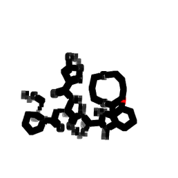 CC[C@H]1CCCCN1C(=O)C[C@H](NC(=O)c1cc(C)on1)C(=O)N[C@@H](C)C1NC2CCCC(F)C2(C2CCCCCCCCC2)N1